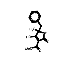 COC(=O)C1=C(O)C(C)(Cc2ccccc2)NC1=O